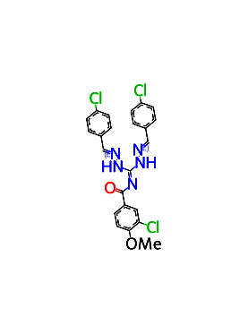 COc1ccc(C(=O)N=C(N/N=C/c2ccc(Cl)cc2)N/N=C/c2ccc(Cl)cc2)cc1Cl